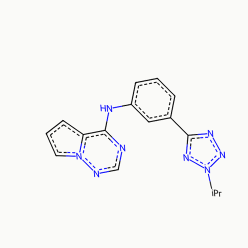 CC(C)n1nnc(-c2cccc(Nc3ncnn4cccc34)c2)n1